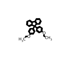 CCOc1ccc(C2(c3ccc(OCC)cc3)c3[c]cccc3-c3ccccc32)cc1